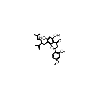 C=C(C)C(CC=C(C)C)Cc1c(O)cc(O)c2c1O[C@H](c1ccc(OC)cc1OC)CC2=O